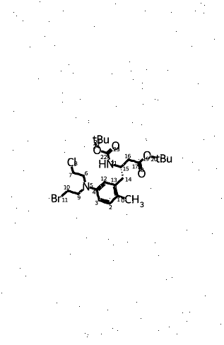 Cc1ccc(N(CCCl)CCBr)cc1C[C@@H](CC(=O)OC(C)(C)C)NC(=O)OC(C)(C)C